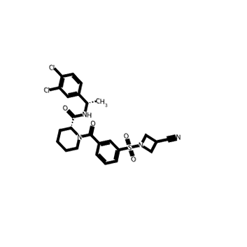 C[C@H](NC(=O)[C@H]1CCCCN1C(=O)c1cccc(S(=O)(=O)N2CC(C#N)C2)c1)c1ccc(Cl)c(Cl)c1